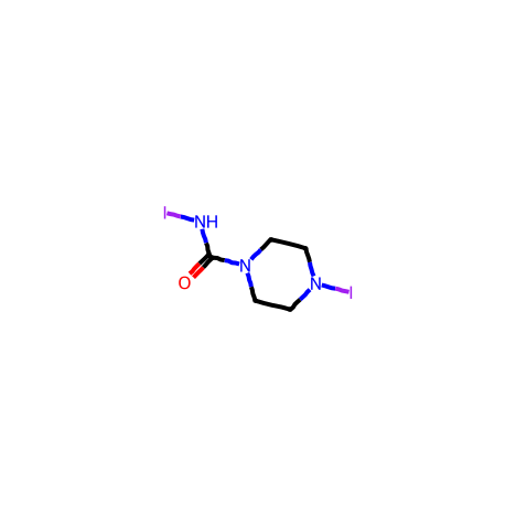 O=C(NI)N1CCN(I)CC1